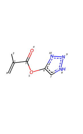 C=C(C)C(=O)Oc1c[nH]nn1